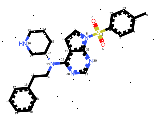 Cc1ccc(S(=O)(=O)n2ccc3c(N(CCc4ccccc4)[C@H]4CCCNC4)ncnc32)cc1